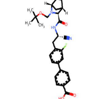 CC(C)(C)OCN1[C@@H]2CC[C@@H](C2)[C@H]1C(=O)N[C@H](C#N)Cc1ccc(-c2ccc(C(=O)O)cc2)cc1F